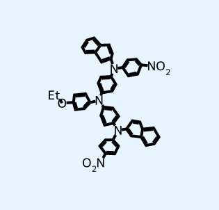 CCOc1ccc(N(c2ccc(N(c3ccc([N+](=O)[O-])cc3)c3ccc4ccccc4c3)cc2)c2ccc(N(c3ccc([N+](=O)[O-])cc3)c3ccc4ccccc4c3)cc2)cc1